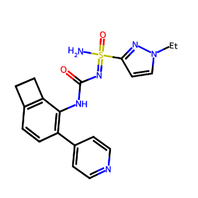 CCn1ccc(S(N)(=O)=NC(=O)Nc2c(-c3ccncc3)ccc3c2CC3)n1